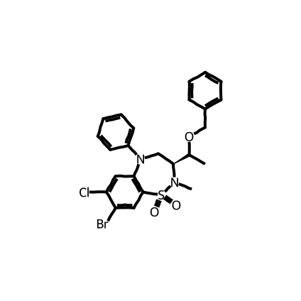 CC(OCc1ccccc1)[C@@H]1CN(c2ccccc2)c2cc(Cl)c(Br)cc2S(=O)(=O)N1C